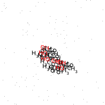 CC(c1cc(C(C)(C)c2ccccc2)ccc1O)c1cc(C(C)(C)c2ccccc2)cc(C(C)c2cc(C(C)(C)c3ccccc3)cc(C(C)c3cc(C(C)(C)c4ccccc4)cc(C(C)c4cc(C(C)(C)c5ccccc5)cc(C(C)c5cc(C(C)(C)c6ccccc6)ccc5O)c4O)c3O)c2O)c1O